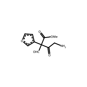 COC(=O)C(C=O)(C(=O)CN)c1ccoc1